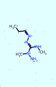 CC/C=N\N=C(/NC)N(C)N